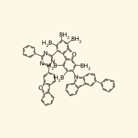 Bc1c(B)c(-c2nc(-c3ccccc3)nc(-c3ccc4c(c3)oc3ccccc34)n2)c2c(oc3c(B)c(-n4c5ccccc5c5cc(-c6ccccc6)ccc54)c(B)c(B)c32)c1B